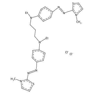 CCN(CCCN(CC)c1ccc(N=Nc2scc[n+]2C)cc1)c1ccc(N=Nc2scc[n+]2C)cc1.[Cl-].[Cl-]